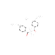 C[CH2][Ge]([CH2]C)([C](=O)c1ccc(OC)cc1)[C](=O)c1ccc(OC)cc1.[Ge]